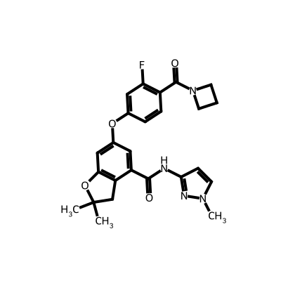 Cn1ccc(NC(=O)c2cc(Oc3ccc(C(=O)N4CCC4)c(F)c3)cc3c2CC(C)(C)O3)n1